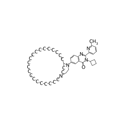 Cc1cccc(-c2nc3ccc(N4CCN5CCCCCCCCCCCCCCCCCCCCCC4CC5)cc3c(=O)n2C2CCC2)n1